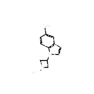 CN1CC(n2ccc3cc(N)ccc32)C1